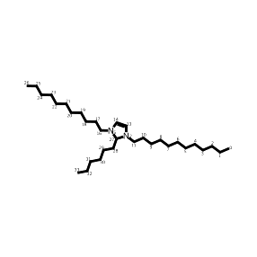 CCCCCCCCCCCCN1C=CN(CCCCCCCCCCC)C1CCCCCC